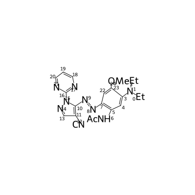 CCN(CC)c1cc(NC(C)=O)c(N=Nc2c(C#N)cnn2-c2ncccn2)cc1OC